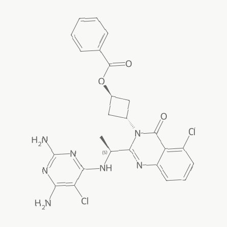 C[C@H](Nc1nc(N)nc(N)c1Cl)c1nc2cccc(Cl)c2c(=O)n1[C@H]1C[C@H](OC(=O)c2ccccc2)C1